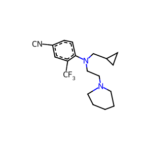 [C-]#[N+]c1ccc(N(CCN2CCCCC2)CC2CC2)c(C(F)(F)F)c1